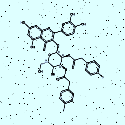 O=C(Cc1ccc(F)cc1)O[C@@H]1[C@H](Oc2c(-c3ccc(O)c(O)c3)oc3cc(O)cc(O)c3c2=O)O[C@@H](CO)C(O)[C@@H]1OC(=O)Cc1ccc(F)cc1